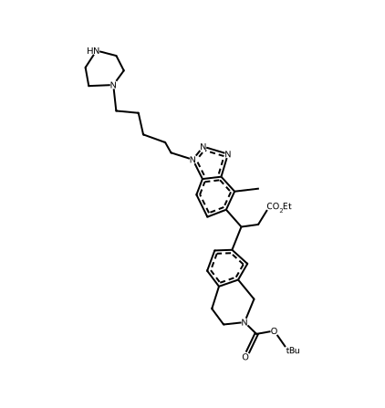 CCOC(=O)CC(c1ccc2c(c1)CN(C(=O)OC(C)(C)C)CC2)c1ccc2c(nnn2CCCCCN2CCNCC2)c1C